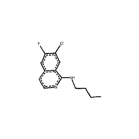 CCCCNc1nccc2cc(F)c(Cl)cc12